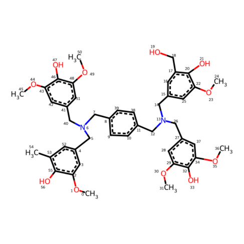 COc1cc(CN(Cc2ccc(CN(Cc3cc(CO)c(O)c(OC)c3)Cc3cc(OC)c(O)c(OC)c3)cc2)Cc2cc(OC)c(O)c(OC)c2)cc(C)c1O